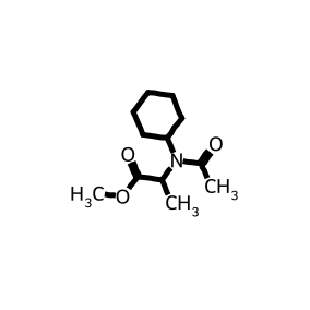 COC(=O)C(C)N(C(C)=O)C1CCCCC1